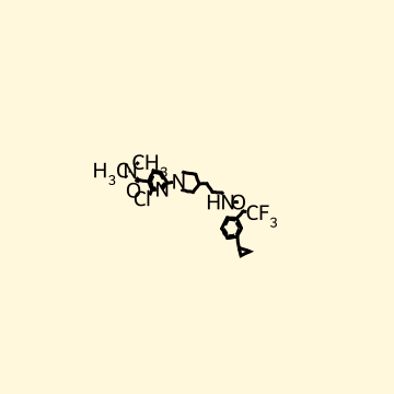 CN(C)C(=O)c1ccc(N2CCC(CCCNOC(c3cccc(C4CC4)c3)C(F)(F)F)CC2)nc1Cl